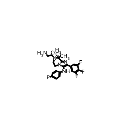 CC1(C)c2nc(-c3cc(F)c(F)c(F)c3)c(Nc3ccc(F)cc3)n2CCN1C(=O)CN